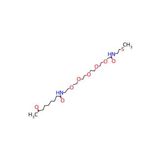 CSCCNC(=O)COCCOCCOCCOCCOCCNC(=O)CCCCCCC(C)=O